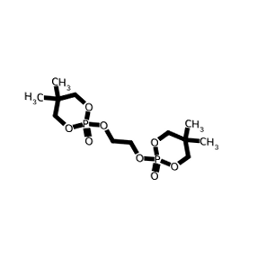 CC1(C)COP(=O)(OCCOP2(=O)OCC(C)(C)CO2)OC1